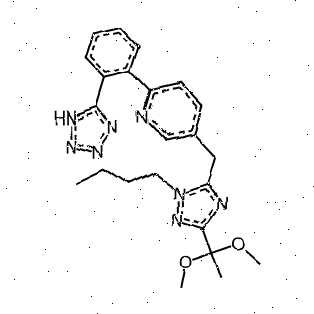 CCCCn1nc(C(C)(OC)OC)nc1Cc1ccc(-c2ccccc2-c2nnn[nH]2)nc1